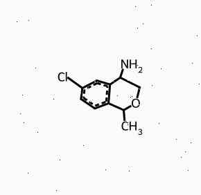 CC1OCC(N)c2cc(Cl)ccc21